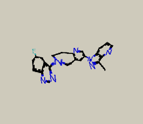 Cc1nn(-c2cnc3c(c2)CN(c2ncnc4ccc(F)cc24)CC3)c2cccnc12